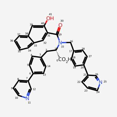 O=C(O)[C@H](Cc1ccc(-c2cccnc2)cc1)N(Cc1ccc(-c2cccnc2)cc1)C(=O)c1cc2ccccc2cc1O